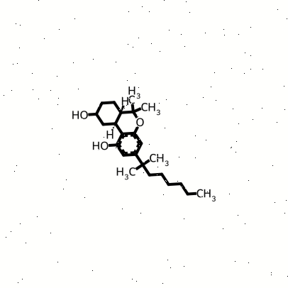 CCCCCCC(C)(C)c1cc(O)c2c(c1)OC(C)(C)[C@H]1CCC(O)C[C@H]21